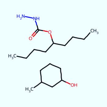 CC1CCCC(O)C1.CCCCC(CCCC)OC(=O)NN